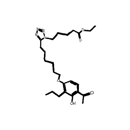 CCCc1c(OCCCCCCc2nnnn2CCCCC(=O)OCC)ccc(C(C)=O)c1O